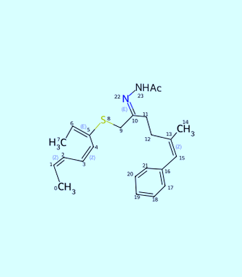 C\C=C/C=C\C(=C/C)SC/C(CC/C(C)=C\c1ccccc1)=N/NC(C)=O